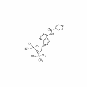 CCC(CC)(CO)O[C@H](CO[Si](C)(C)C(C)(C)C)n1cnc2c(NC(=O)c3ccccc3)ncnc21